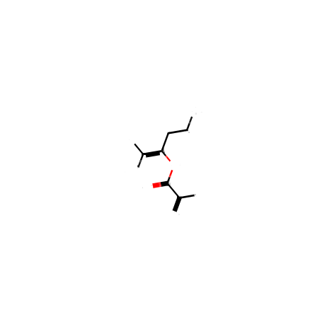 C=C(C)C(=O)OC(CCCCCCCCCCCC)=C(C)C(=O)OCC